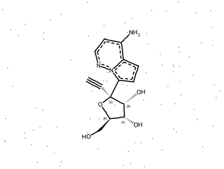 C#C[C@@]1(c2ccc3c(N)ccnn23)O[C@H](CO)[C@@H](O)[C@H]1O